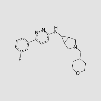 Fc1cccc(-c2ccc(NC3C4CN(CC5CCOCC5)CC43)nn2)c1